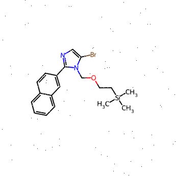 C[Si](C)(C)CCOCn1c(Br)cnc1-c1ccc2ccccc2c1